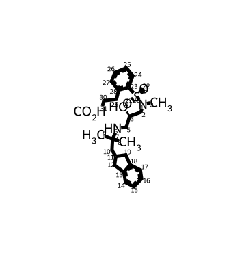 CN(C[C@H](O)CNC(C)(C)CC1Cc2ccccc2C1)S(=O)(=O)c1ccccc1CCC(=O)O